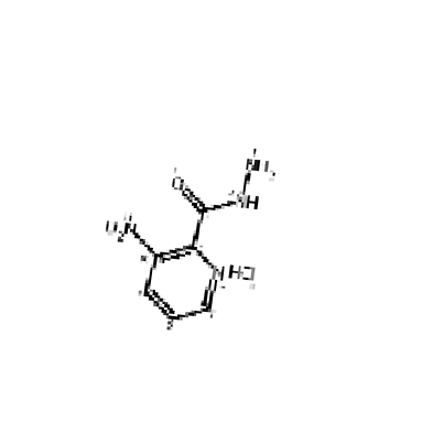 Cl.NNC(=O)c1ncc[c]c1[N+](=O)[O-]